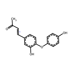 CC(=O)/C=C/c1ccc(Oc2ccc(O)cc2)c(O)c1